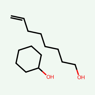 C=CCCCCCCO.OC1CCCCC1